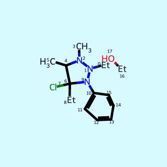 CCN1N(C)C(C)C(Cl)(CC)N1c1ccccc1.CCO